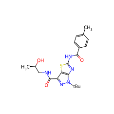 Cc1ccc(C(=O)Nc2nc3c(s2)c(C(=O)NC[C@@H](C)O)nn3C(C)(C)C)cc1